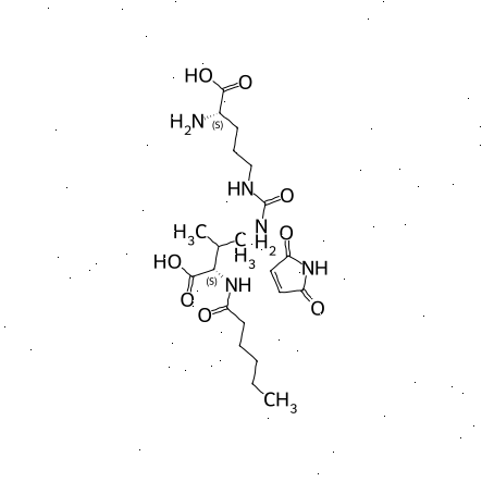 CCCCCC(=O)N[C@H](C(=O)O)C(C)C.NC(=O)NCCC[C@H](N)C(=O)O.O=C1C=CC(=O)N1